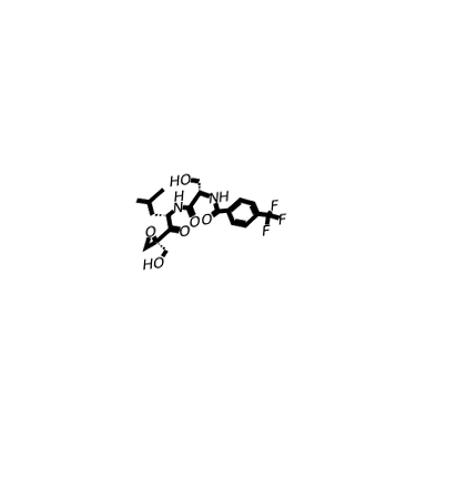 CC(C)C[C@H](NC(=O)[C@H](CO)NC(=O)c1ccc(C(F)(F)F)cc1)C(=O)[C@@]1(CO)CO1